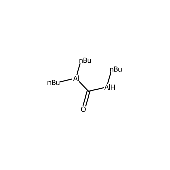 CCC[CH2][AlH][C](=O)[Al]([CH2]CCC)[CH2]CCC